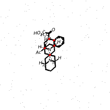 CC(=O)C(=O)N(c1ccccc1NC(=O)C(=O)O)[C@H]1C[C@H]2CCC[C@@H](C1)N2[C@H]1C[C@@H]2C[C@@H](C)C[C@@H](C2)C1